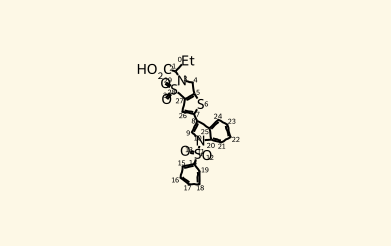 CCC(C(=O)O)N1Cc2sc(-c3cn(S(=O)(=O)c4ccccc4)c4ccccc34)cc2S1(=O)=O